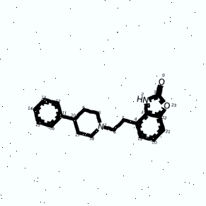 O=c1[nH]c2c(CCN3CCC(c4ccccc4)CC3)cccc2o1